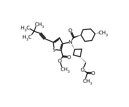 COC(=O)c1sc(C#CC(C)(C)C)cc1N(C(=O)[C@H]1CC[C@H](C)CC1)[C@H]1C[C@@H](COC(C)=O)C1